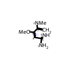 C=C(NC)/C(=C\C(=N)N)OC